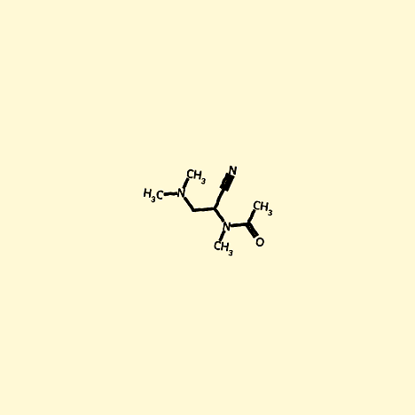 CC(=O)N(C)C(C#N)CN(C)C